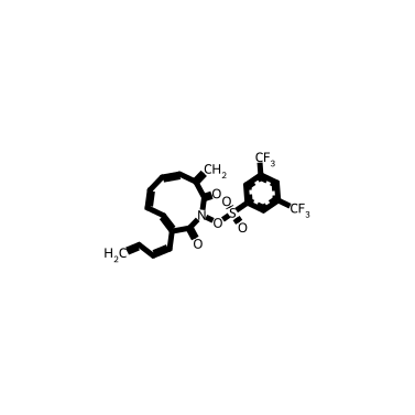 C=C\C=C/C1=C\C=C/C=C\C(=C)C(=O)N(OS(=O)(=O)c2cc(C(F)(F)F)cc(C(F)(F)F)c2)C1=O